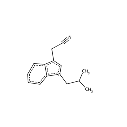 C[C](C)Cn1cc(CC#N)c2ccccc21